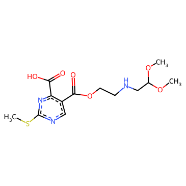 COC(CNCCOC(=O)c1cnc(SC)nc1C(=O)O)OC